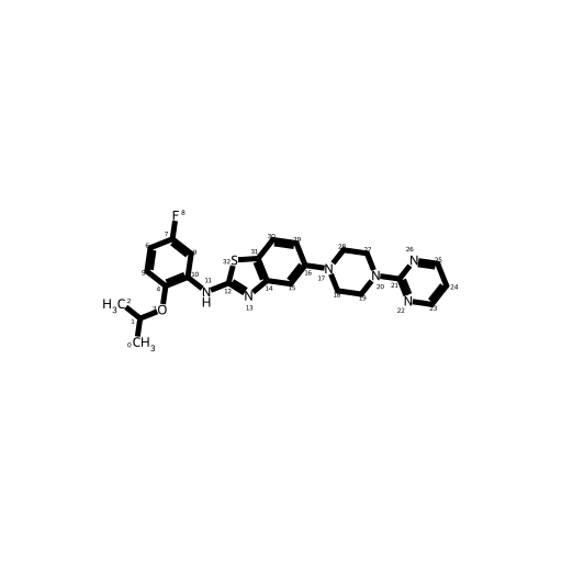 CC(C)Oc1ccc(F)cc1Nc1nc2cc(N3CCN(c4ncccn4)CC3)ccc2s1